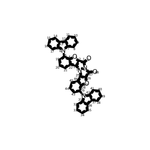 O=c1c2oc3c(-n4c5ccccc5c5ccccc54)cccc3c2n2c3c(oc4c(-n5c6ccccc6c6ccccc65)cccc43)c(=O)n12